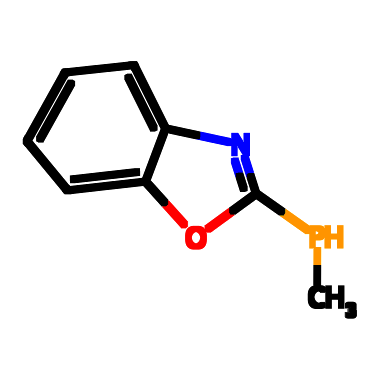 CPc1nc2ccccc2o1